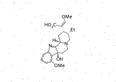 CC[C@@H]1CN2CC[C@@]3(O)C(=Nc4cccc(OC)c43)[C@@H]2C[C@@H]1/C(=C/OC)C(=O)O